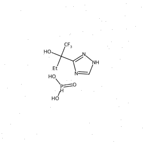 CCC(O)(c1nc[nH]n1)C(F)(F)F.O=[PH](O)O